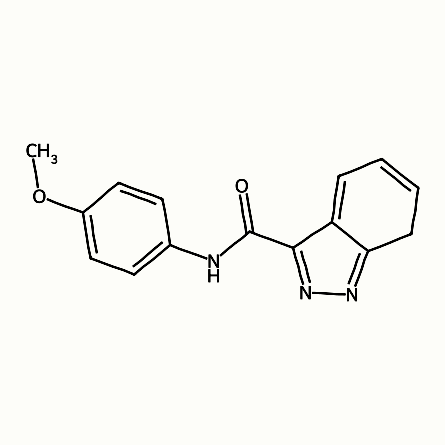 COc1ccc(NC(=O)C2=NN=C3CC=CC=C32)cc1